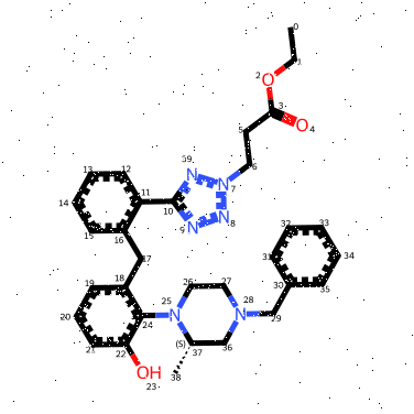 CCOC(=O)CCn1nnc(-c2ccccc2Cc2cccc(O)c2N2CCN(Cc3ccccc3)C[C@@H]2C)n1